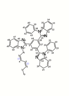 CC/C=C\C=C/Cn1c(-c2cc(-c3nc4c(n3-c3ccccc3)C=CCC4)cc(-c3nc4ccccc4n3-c3ccccc3)c2)nc2ccccc21